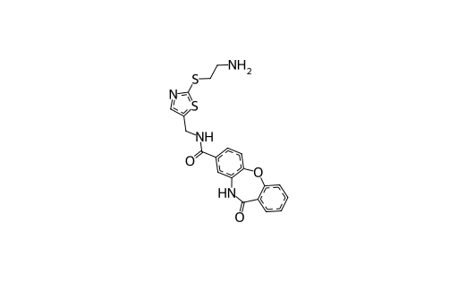 NCCSc1ncc(CNC(=O)c2ccc3c(c2)NC(=O)c2ccccc2O3)s1